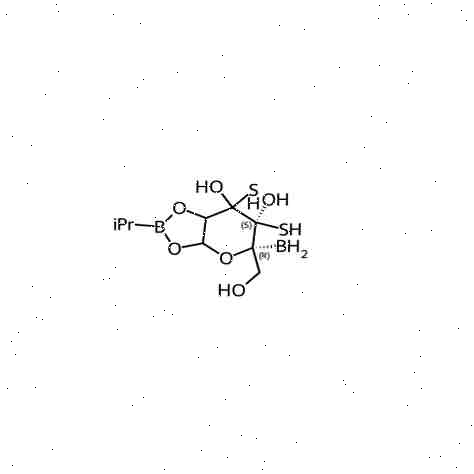 B[C@]1(CO)OC2OB(C(C)C)OC2C(O)(S)[C@@]1(O)S